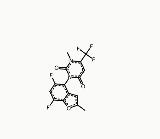 Cc1cc2c(-n3c(=O)cc(C(F)(F)F)n(C)c3=O)c(F)cc(F)c2o1